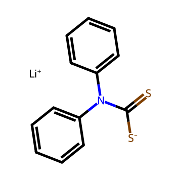 S=C([S-])N(c1ccccc1)c1ccccc1.[Li+]